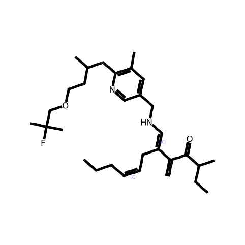 C=C(C(=O)C(C)CC)/C(=C/NCc1cnc(CC(C)CCOCC(C)(C)F)c(C)c1)C/C=C\CCC